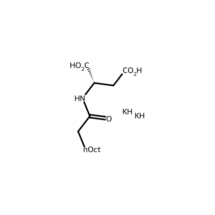 CCCCCCCCCC(=O)N[C@@H](CC(=O)O)C(=O)O.[KH].[KH]